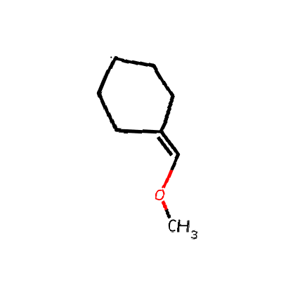 COC=C1CC[CH]CC1